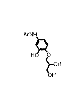 CC(=O)Nc1ccc(OCC(O)CO)c(O)c1